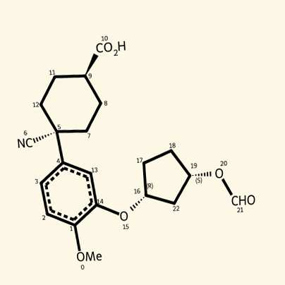 COc1ccc([C@]2(C#N)CC[C@H](C(=O)O)CC2)cc1O[C@@H]1CC[C@H](OC=O)C1